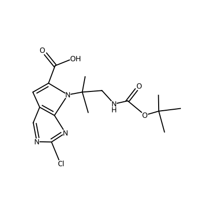 CC(C)(C)OC(=O)NCC(C)(C)n1c(C(=O)O)cc2cnc(Cl)nc21